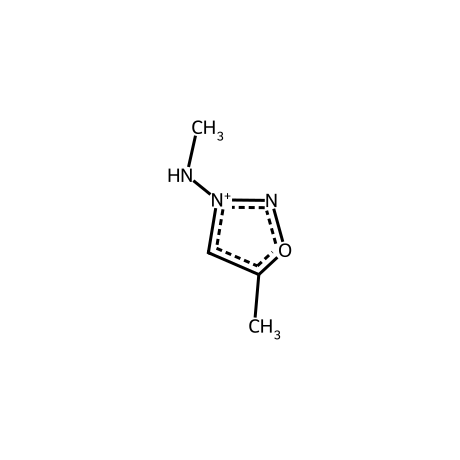 CN[n+]1cc(C)on1